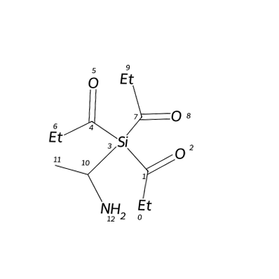 CCC(=O)[Si](C(=O)CC)(C(=O)CC)C(C)N